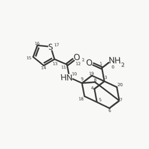 NC(=O)C12CC3CC(CC(NC(=O)c4cccs4)(C3)C1)C2